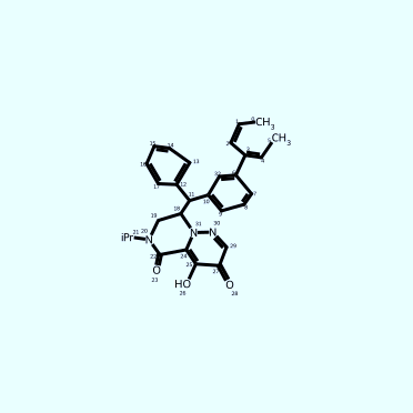 C/C=C\C(=C/C)c1cccc(C(c2ccccc2)C2CN(C(C)C)C(=O)c3c(O)c(=O)cnn32)c1